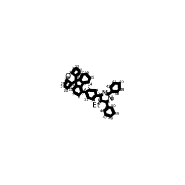 CCC1C(c2ccc(-c3cccc4c3-c3ccccc3C43c4ccccc4Oc4ccccc43)cc2)=NC(c2ccccc2)=NC1c1ccccc1